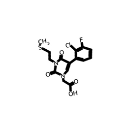 CSCCn1c(=O)c(-c2cccc(F)c2Cl)cn(CC(=O)O)c1=O